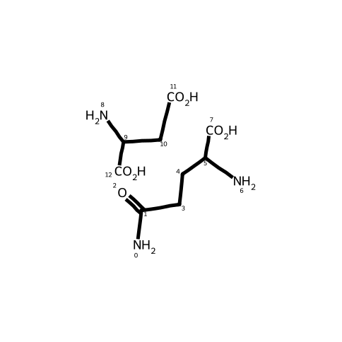 NC(=O)CCC(N)C(=O)O.NC(CC(=O)O)C(=O)O